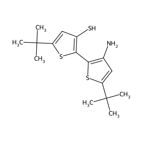 CC(C)(C)c1cc(N)c(-c2sc(C(C)(C)C)cc2S)s1